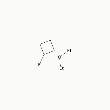 CCOCC.FC1CCC1